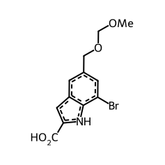 COCOCc1cc(Br)c2[nH]c(C(=O)O)cc2c1